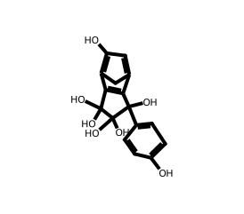 OC1=C2CC(=C1)C1=C2C(O)(O)C(O)(O)C1(O)c1ccc(O)cc1